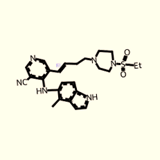 CCS(=O)(=O)N1CCN(CC/C=C/c2cncc(C#N)c2Nc2ccc3[nH]ccc3c2C)CC1